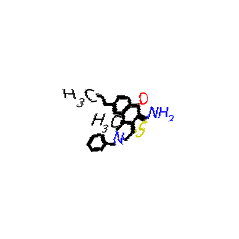 CCCc1ccc2c(c1)C1(C)CN(Cc3ccccc3)Cc3sc(N)c(c31)C2=O